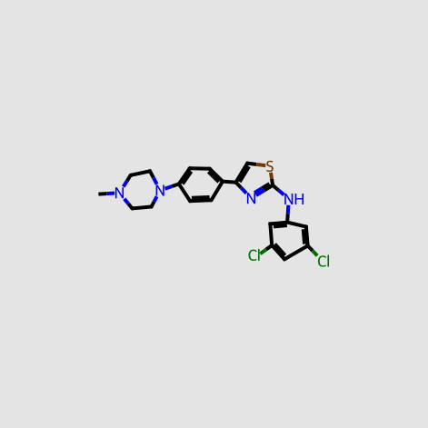 CN1CCN(c2ccc(-c3csc(Nc4cc(Cl)cc(Cl)c4)n3)cc2)CC1